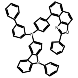 c1ccc(-c2cccc(N(c3ccc(-c4cccc5ccc6oc(-c7ccccc7)nc6c45)cc3)c3ccc4c(c3)c3ccccc3n4-c3ccccc3)c2)cc1